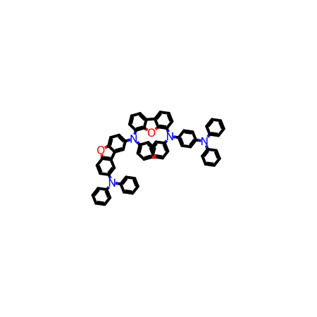 c1ccc(N(c2ccccc2)c2ccc(N(c3ccccc3)c3cccc4c3oc3c(N(c5ccccc5)c5ccc6oc7ccc(N(c8ccccc8)c8ccccc8)cc7c6c5)cccc34)cc2)cc1